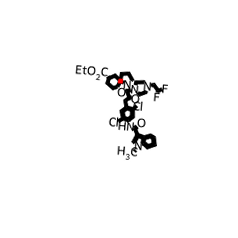 CCOC(=O)C1CCC(OC(C(=O)Cc2cc(Cl)c(NC(=O)c3cn(C)c4ccccc34)cc2Cl)(N2CCCC2)N2CCN(CC(F)F)CC2)CC1